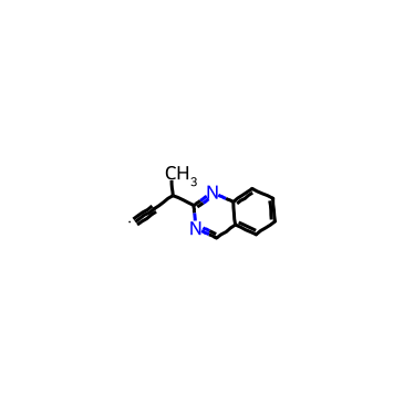 [C]#CC(C)c1ncc2ccccc2n1